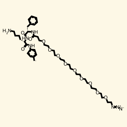 [CH2]c1ccc(NC(=O)[C@H](CCCCN)NC(=O)[C@H](Cc2ccccc2)NC(=O)CCOCCOCCOCCOCCOCCOCCOCCOCCOCCN=[N+]=[N-])cc1